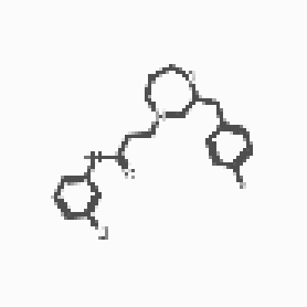 O=C(CCN1CCCOC(Cc2ccc(F)cc2)C1)Nc1cccc(Cl)c1